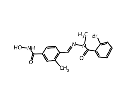 Cc1cc(C(=O)NO)ccc1/C=N/N(C)C(=O)c1ccccc1Br